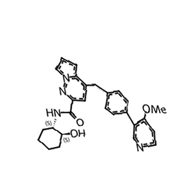 COc1ccncc1-c1ccc(Cc2cc(C(=O)N[C@H]3CCCC[C@@H]3O)nn3cccc23)cc1